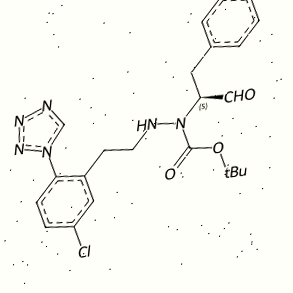 CC(C)(C)OC(=O)N(NCCc1cc(Cl)ccc1-n1cnnn1)[C@H](C=O)Cc1ccccc1